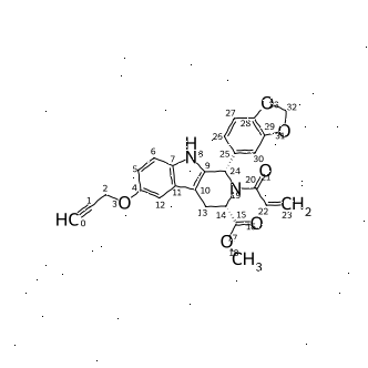 C#CCOc1ccc2[nH]c3c(c2c1)C[C@@H](C(=O)OC)N(C(=O)C=C)[C@H]3c1ccc2c(c1)OCO2